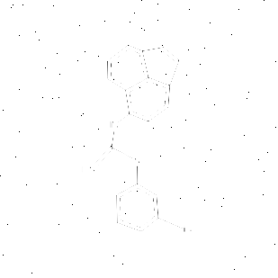 CCC(C)c1cccc(NC(=N)Nc2ccc3c4c(cccc24)C=C3)c1